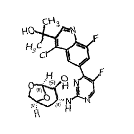 CC(C)(O)c1cnc2c(F)cc(-c3nc(N[C@@H]4C[C@H]5CO[C@H](O5)[C@H]4O)ncc3F)cc2c1Cl